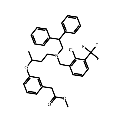 COC(=O)Cc1cccc(OC(C)CCN(Cc2cccc(C(F)(F)F)c2Cl)CC(c2ccccc2)c2ccccc2)c1